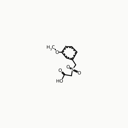 COc1[c]ccc(CS(=O)(=O)CC(=O)O)c1